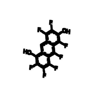 Oc1c(F)c(F)c2cc3c(O)c(F)c(F)c(F)c3c(F)c2c1F